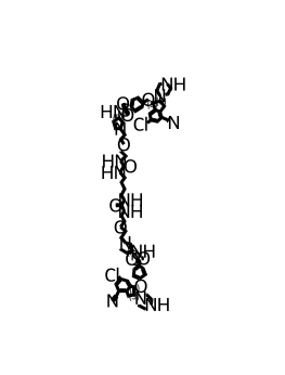 N#Cc1cc(Cl)cc2c1C[C@H](N1CCNCC1)[C@H]2Oc1ccc(S(=O)(=O)N[C@@H]2CCN(CCOCCNC(=O)NCCCCNC(=O)NCCOCCN3CC[C@@H](NS(=O)(=O)c4ccc(O[C@H]5c6cc(Cl)cc(C#N)c6C[C@@H]5N5CCNCC5)cc4)C3)C2)cc1